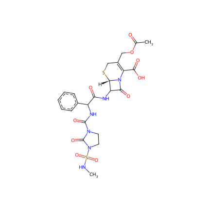 CNS(=O)(=O)N1CCN(C(=O)NC(C(=O)NC2C(=O)N3C(C(=O)O)=C(COC(C)=O)CS[C@@H]23)c2ccccc2)C1=O